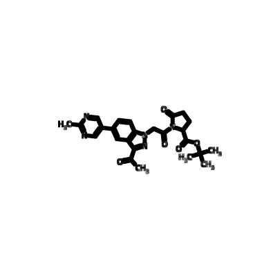 CC(=O)c1nn(CC(=O)N2C(=O)CCC2C(=O)OC(C)(C)C)c2ccc(-c3cnc(C)nc3)cc12